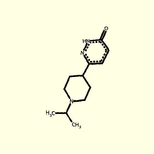 CC(C)N1CCC(c2ccc(=O)[nH]n2)CC1